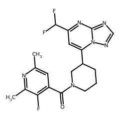 Cc1cc(C(=O)N2CCCC(c3cc(C(F)F)nc4ncnn34)C2)c(F)c(C)n1